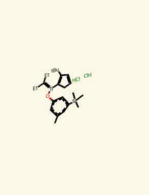 CC[C](CC)=[Ti]([O]c1cc(C)cc([Si](C)(C)C)c1)[C]1=C(C(C)(C)C)C=CC1.Cl.Cl